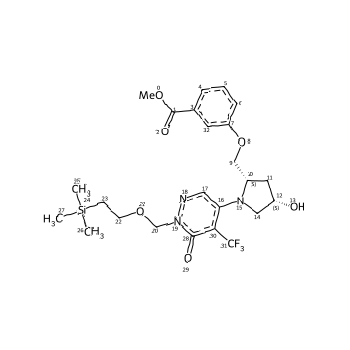 COC(=O)c1cccc(OC[C@@H]2C[C@H](O)CN2c2cnn(COCC[Si](C)(C)C)c(=O)c2C(F)(F)F)c1